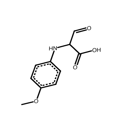 COc1ccc(NC(C=O)C(=O)O)cc1